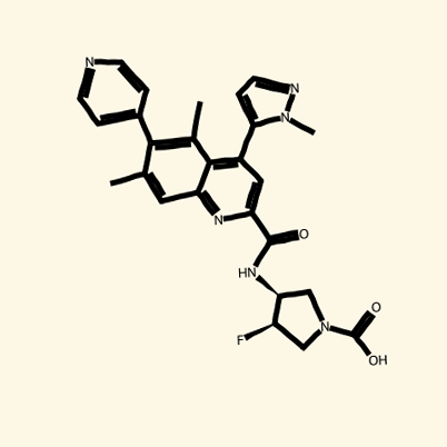 Cc1cc2nc(C(=O)N[C@H]3CN(C(=O)O)C[C@H]3F)cc(-c3ccnn3C)c2c(C)c1-c1ccncc1